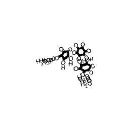 O.O.O.O.O.O.O.O.O=C1C(=O)C(=O)C(=O)C(=O)C1=O.O=c1c(O)c(O)c(=O)c(=O)c1=O.O=c1c(O)c(O)c(=O)c1=O